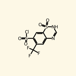 O=S(=O)(Cl)c1cc2c(cc1C(F)(F)F)N=CNS2(=O)=O